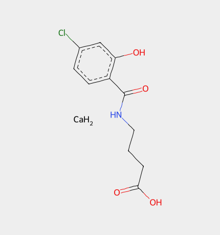 O=C(O)CCCNC(=O)c1ccc(Cl)cc1O.[CaH2]